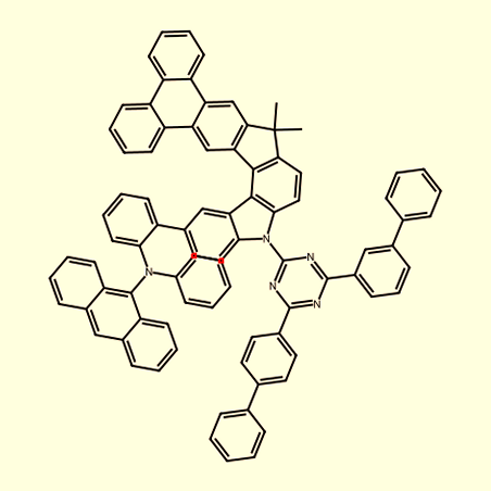 CC1(C)c2cc3c4ccccc4c4ccccc4c3cc2-c2c1ccc1c2c2cc(-c3ccccc3N(c3ccccc3)c3c4ccccc4cc4ccccc34)ccc2n1-c1nc(-c2ccc(-c3ccccc3)cc2)nc(-c2cccc(-c3ccccc3)c2)n1